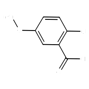 CCCCOc1ccc(Cl)c(C(=O)Cl)c1